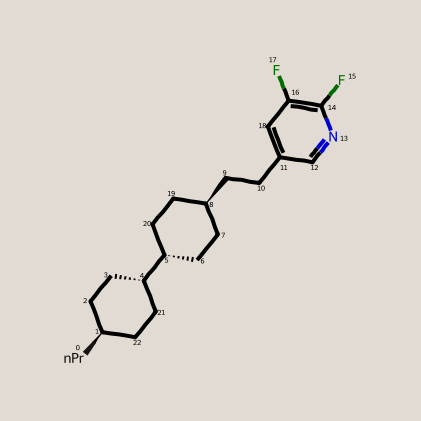 CCC[C@H]1CC[C@H]([C@H]2CC[C@H](CCc3cnc(F)c(F)c3)CC2)CC1